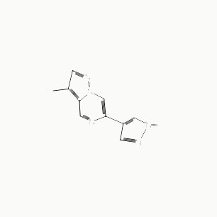 Cn1cc(-c2cn3ncc(Br)c3cn2)cn1